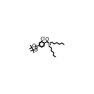 CCCCCCN(CCCCCC)C(=O)c1ccc(B2OC(C)(C)C(C)(C)O2)cc1Cl